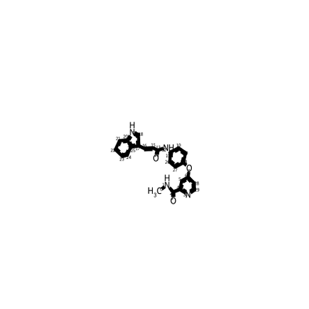 CNC(=O)c1cc(Oc2ccc(NC(=O)/C=C/c3c[nH]c4ccccc34)cc2)ccn1